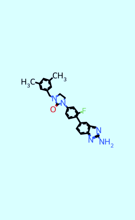 Cc1cc(C)cc(CN2CCN(c3ccc(-c4ccc5nc(N)ncc5c4)c(F)c3)C2=O)c1